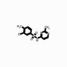 Cc1nccc(NS(=O)(=O)c2ccc(C)c(Cl)c2)n1